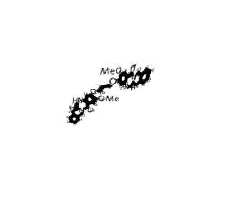 COc1cc2c(cc1OCCCOc1cc3c(cc1OC)C(=O)N1Cc4ccccc4C[C@H]1CN3)NC[C@@H]1Cc3ccccc3CN1C2=O